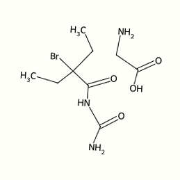 CCC(Br)(CC)C(=O)NC(N)=O.NCC(=O)O